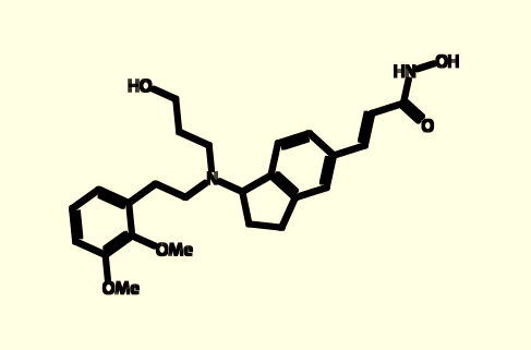 COc1cccc(CCN(CCCO)C2CCc3cc(/C=C/C(=O)NO)ccc32)c1OC